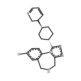 Clc1ccc2c(c1)CNCc1nnc([C@H]3CC[C@H](C4C=CC=NC4)CC3)n1-2